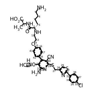 C[C@H](NC(=O)[C@H](CCCCN)NCCOc1ccc(-c2c(C#N)c(N)nc(SCc3csc(-c4ccc(Cl)cc4)n3)c2C#N)cc1)C(=O)O.Cl.Cl